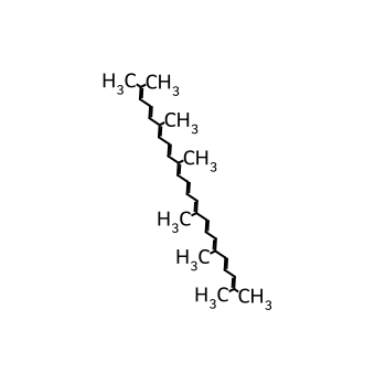 CC(C)=C/C=C/C(C)=C/C=C/C(C)=C/C=C/C=C(C)/C=C/C=C(C)/C=C/C=C(C)C